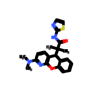 CN(C)c1ccc2c(n1)Oc1ccccc1C2C(C)(C)C(=O)Nc1nccs1